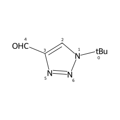 CC(C)(C)n1cc(C=O)nn1